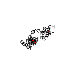 COCOc1cc(-c2ncc3c(N4C[C@H]5CC[C@@H](C4)N5C(=O)O)nc(OCCN4CCC(CC5CCN(c6cc([C@H](C(=O)N7C[C@H](O)C[C@H]7C(=O)N[C@@H](C)c7ccc(-c8scnc8C)cc7)C(C)C)on6)CC5)CC4)nc3c2F)c2c(C#C[Si](C(C)C)(C(C)C)C(C)C)c(F)ccc2c1